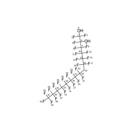 OC(F)(F)C(O)(F)C(F)(F)C(F)(F)C(F)(F)C(F)(F)CC(F)(F)C(F)(F)C(F)(F)C(F)(F)C(F)(F)C(F)(F)C(F)(F)C(F)(F)F